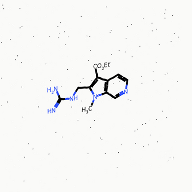 CCOC(=O)c1c(CNC(=N)N)n(C)c2cnccc12